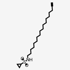 C#CCCCCCCCCCCCCCCCCNS(=O)(=O)C1CC1